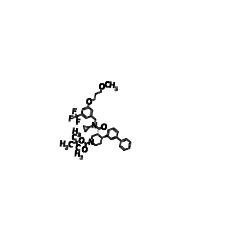 COCCCOc1cc(CN(C(=O)[C@H]2CN(C(=O)OC(C)(C)C)CC[C@@H]2c2cccc(-c3ccccc3)c2)C2CC2)cc(C(F)(F)F)c1